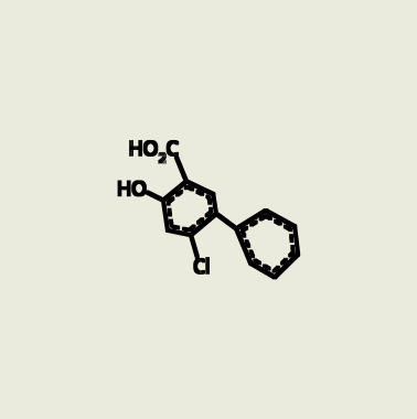 O=C(O)c1cc(-c2ccccc2)c(Cl)cc1O